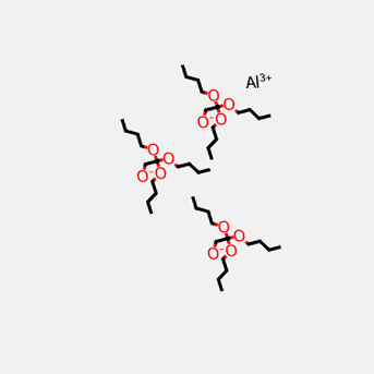 CCCCOC(C[O-])(OCCCC)OCCCC.CCCCOC(C[O-])(OCCCC)OCCCC.CCCCOC(C[O-])(OCCCC)OCCCC.[Al+3]